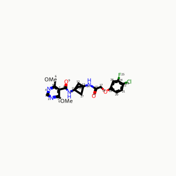 COc1ncnc(OC)c1C(=O)NC12CC(NC(=O)COc3ccc(Cl)c(F)c3)(C1)C2